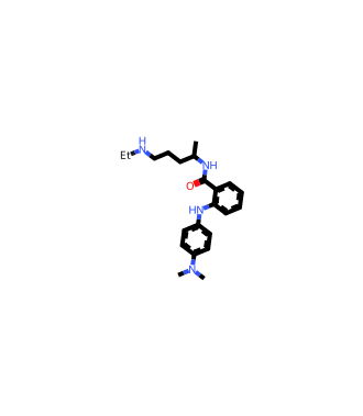 CCNCCCC(C)NC(=O)c1ccccc1Nc1ccc(N(C)C)cc1